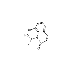 CC(O)n1c(=O)ccc2cccc(O)c21